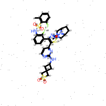 Cc1cccc(F)c1S(=O)(=O)Nc1cccc(-c2nc(N3C4CCC3CN(C)C4)sc2-c2ccnc(NC3CC4(C3)CS(=O)(=O)C4)n2)c1F